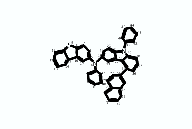 c1ccc(N(c2ccc3sc4ccccc4c3c2)c2ccc3c(c2)c2c(-c4ccc5ccccc5c4)cccc2n3-c2ccccc2)cc1